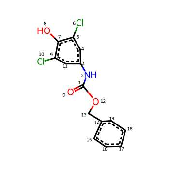 O=C(Nc1cc(Cl)c(O)c(Cl)c1)OCc1ccccc1